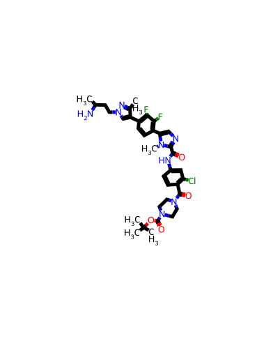 Cc1nn(CCC(C)N)cc1-c1ccc(-c2cnc(C(=O)Nc3ccc(C(=O)N4CCN(C(=O)OC(C)(C)C)CC4)c(Cl)c3)n2C)c(F)c1F